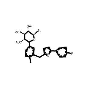 CC[C@H]1OC(c2ccc(C)c(Cc3ccc(-c4ccc(F)cc4)s3)c2)[C@H](OC(C)=O)[C@@H](OC(C)=O)[C@@H]1OC(C)=O